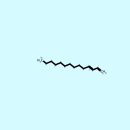 C=C/[C]=C/CCCCCCCCCC